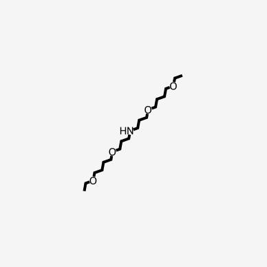 CCOCCCCOCCCNCCCOCCCCOCC